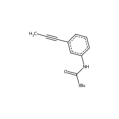 CC#Cc1cccc(NC(=O)C(C)(C)C)c1